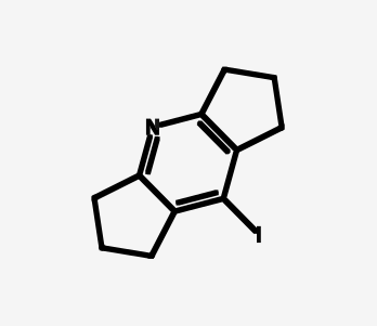 Ic1c2c(nc3c1CCC3)CCC2